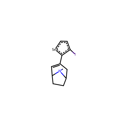 CN1C2C=C(c3[se]ccc3I)CC1CC2